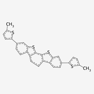 Cc1ccc(-c2ccc3c(c2)sc2c3ccc3c4ccc(-c5ccc(C)s5)cc4sc32)s1